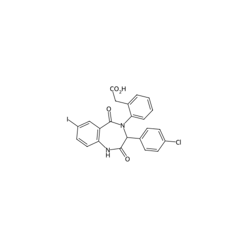 O=C(O)Cc1ccccc1N1C(=O)c2cc(I)ccc2NC(=O)C1c1ccc(Cl)cc1